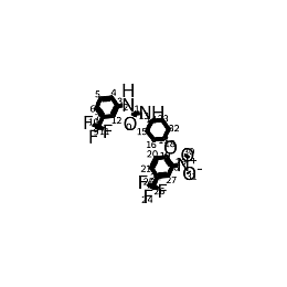 O=C(Nc1cccc(C(F)(F)F)c1)NC1CCC(Oc2ccc(C(F)(F)F)cc2[N+](=O)[O-])CC1